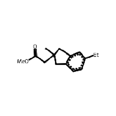 CCc1ccc2c(c1)CC(C)(CC(=O)OC)C2